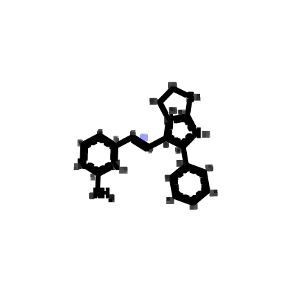 Nc1nccc(/C=C/c2c(-c3ccccc3)nc3n2CCS3)n1